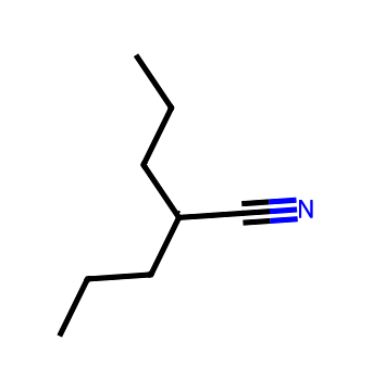 CCC[C](C#N)CCC